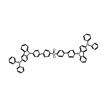 O=S(=O)(c1ccc(-c2ccc(-n3c4ccccc4c4cc(N(c5ccccc5)c5ccccc5)ccc43)cc2)cc1)c1ccc(-c2ccc(-n3c4ccccc4c4cc(N(c5ccccc5)c5ccccc5)ccc43)cc2)cc1